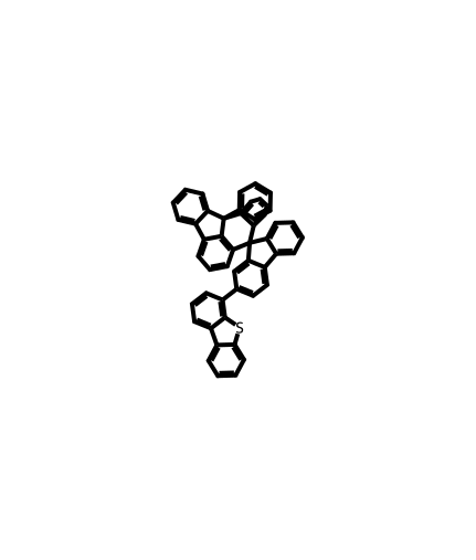 c1ccc(C23c4ccccc4-c4cccc(c42)C2(c4ccccc4-c4ccc(-c5cccc6c5sc5ccccc56)cc42)c2ccccc23)cc1